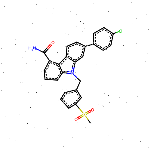 CS(=O)(=O)c1cccc(Cn2c3cc(-c4ccc(Cl)cc4)c[c]c3c3c(C(N)=O)cccc32)c1